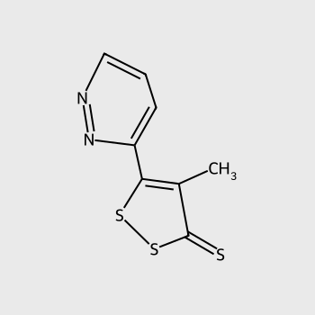 Cc1c(-c2cccnn2)ssc1=S